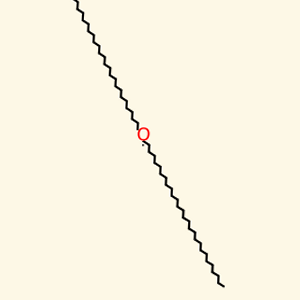 CCCCCCCCCCCCCCCCCCCCCCCCCCC[CH]OCCCCCCCCCCCCCCCCCCCCCCCCC